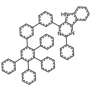 c1ccc(-c2nc(-c3cccc(-c4cccc(-c5cc(-c6ccccc6)c(-c6ccccc6)c(-c6ccccc6)c5-c5ccccc5)c4)c3)c3[nH]c4ccccc4c3n2)cc1